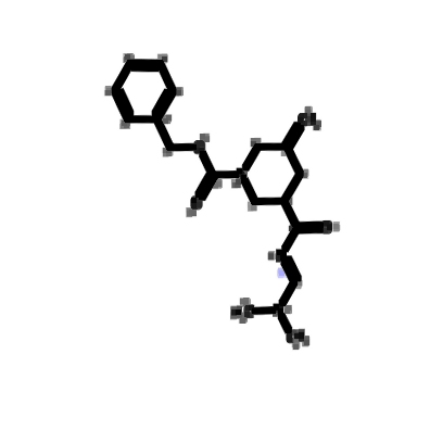 C=C1CC(C(=O)/N=C/N(C)C)CN(C(=O)OCc2ccccc2)C1